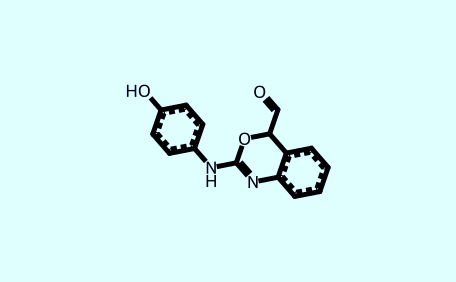 O=CC1OC(Nc2ccc(O)cc2)=Nc2ccccc21